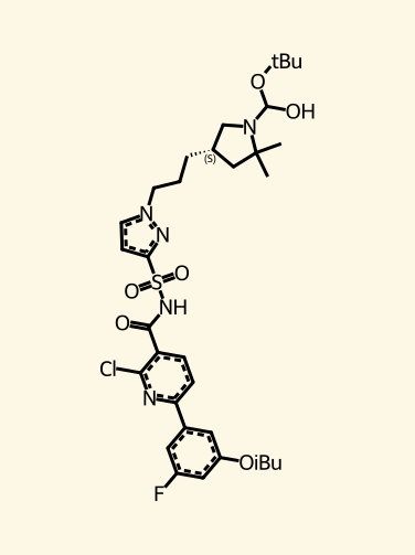 CC(C)COc1cc(F)cc(-c2ccc(C(=O)NS(=O)(=O)c3ccn(CCC[C@@H]4CN(C(O)OC(C)(C)C)C(C)(C)C4)n3)c(Cl)n2)c1